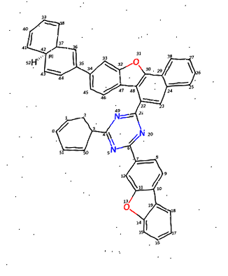 C1=CCC(c2nc(-c3ccc4c(c3)oc3ccccc34)nc(-c3cc4ccccc4c4oc5cc(C6=CC7C=CC=C[C@@H]7C=C6)ccc5c34)n2)C=C1